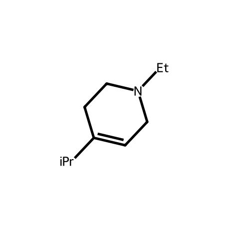 CCN1CC=C(C(C)C)CC1